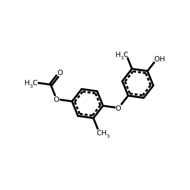 CC(=O)Oc1ccc(Oc2ccc(O)c(C)c2)c(C)c1